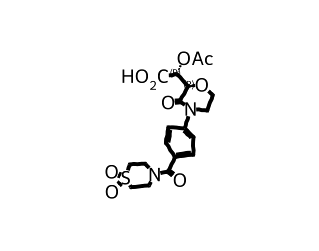 CC(=O)O[C@@H](C(=O)O)[C@H]1OCCN(c2ccc(C(=O)N3CCS(=O)(=O)CC3)cc2)C1=O